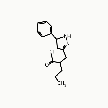 CCCC(CC1=NNC(c2ccccc2)C1)C(=O)Cl